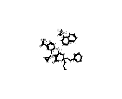 CCCC1(CCc2ccccc2)CC(O)=C(N(c2cccc(C(N)=O)c2)C2CC2)C(=O)O1.O=S(=O)(O)c1cccc2cccnc12